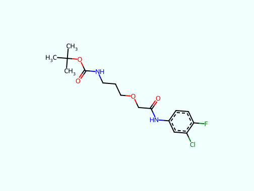 CC(C)(C)OC(=O)NCCCOCC(=O)Nc1ccc(F)c(Cl)c1